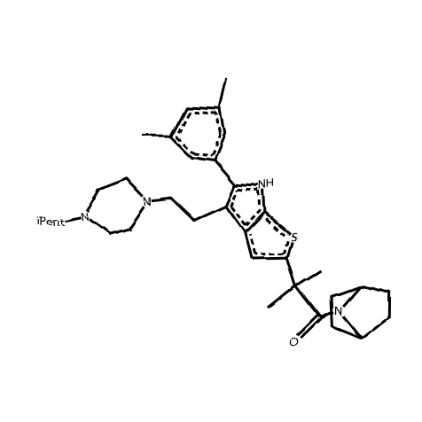 CCCC(C)N1CCN(CCc2c(-c3cc(C)cc(C)c3)[nH]c3sc(C(C)(C)C(=O)N4C5CCC4CC5)cc23)CC1